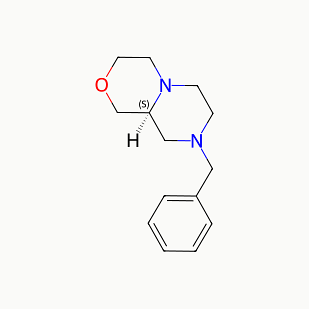 c1ccc(CN2CCN3CCOC[C@@H]3C2)cc1